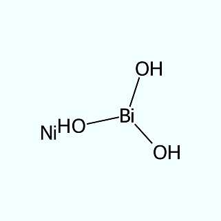 [Ni].[OH][Bi]([OH])[OH]